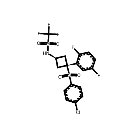 O=S(=O)(N[C@H]1C[C@](c2cc(F)ccc2F)(S(=O)(=O)c2ccc(Cl)cc2)C1)C(F)(F)F